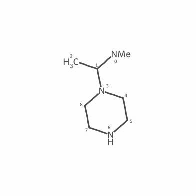 CNC(C)N1CCNCC1